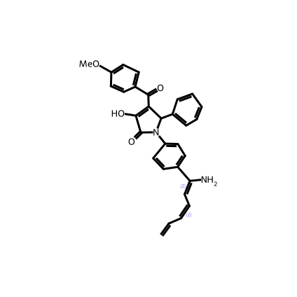 C=C/C=C\C=C(/N)c1ccc(N2C(=O)C(O)=C(C(=O)c3ccc(OC)cc3)C2c2ccccc2)cc1